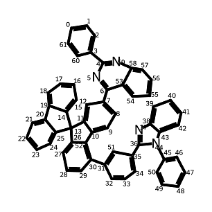 c1ccc(-c2nc(-c3ccc4c(c3)C3(c5ccccc5-c5ccccc53)c3cccc(-c5cccc(-c6nc7ccccc7n6-c6ccccc6)c5)c3-4)c3ccccc3n2)cc1